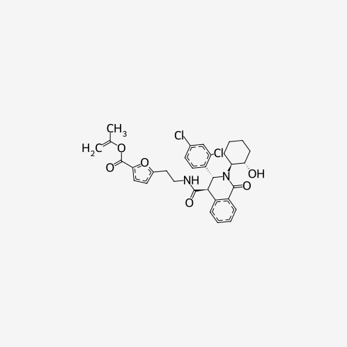 C=C(C)OC(=O)c1ccc(CCNC(=O)[C@@H]2c3ccccc3C(=O)N([C@H]3CCCC[C@@H]3O)[C@H]2c2ccc(Cl)cc2Cl)o1